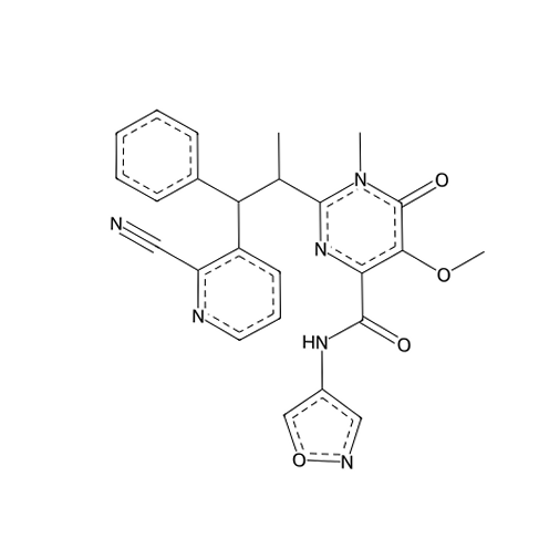 COc1c(C(=O)Nc2cnoc2)nc(C(C)C(c2ccccc2)c2cccnc2C#N)n(C)c1=O